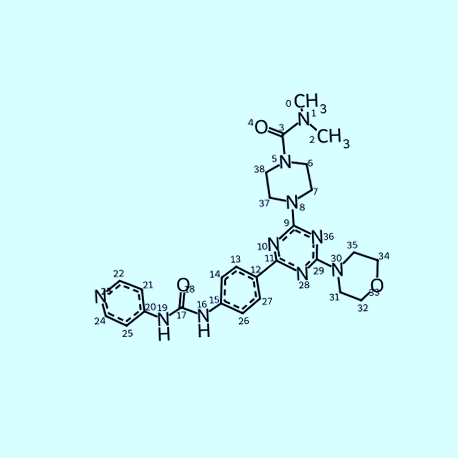 CN(C)C(=O)N1CCN(c2nc(-c3ccc(NC(=O)Nc4ccncc4)cc3)nc(N3CCOCC3)n2)CC1